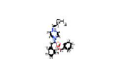 C=CCN1CCN(C(=O)Cc2ccccc2OCc2ccccc2)CC1